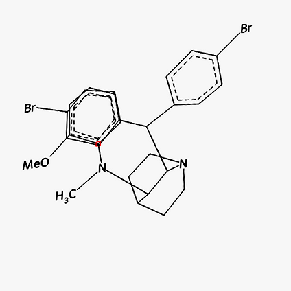 COc1ccccc1N(C)C1C2CCN(CC2)C1C(c1ccc(Br)cc1)c1ccc(Br)cc1